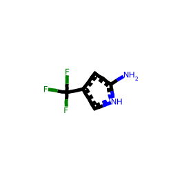 Nc1cc(C(F)(F)F)c[nH]1